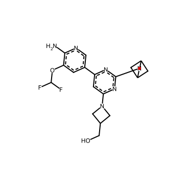 Nc1ncc(-c2cc(N3CC(CO)C3)nc(N3CC4CC3C4)n2)cc1OC(F)F